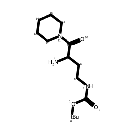 CC(C)(C)OC(=O)NCCC(N)C(=O)N1CCCCC1